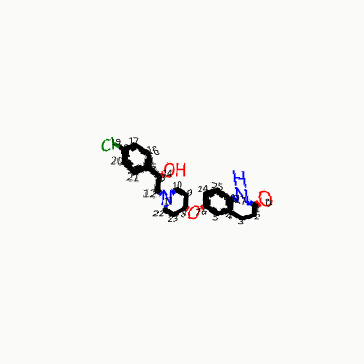 O=C1CCc2cc(OC3CCN(CC(O)c4ccc(Cl)cc4)CC3)ccc2N1